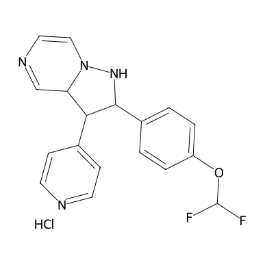 Cl.FC(F)Oc1ccc(C2NN3C=CN=CC3C2c2ccncc2)cc1